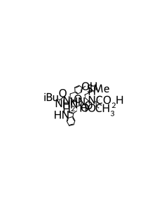 CC[C@H](C)[C@H](N)C(=O)N[C@@H](Cc1ccc(O)cc1)C(=O)N[C@@H](Cc1c[nH]c2ccccc12)C(=O)N[C@@H](CCSC)C(=O)N[C@H](C(=O)O)[C@@H](C)O